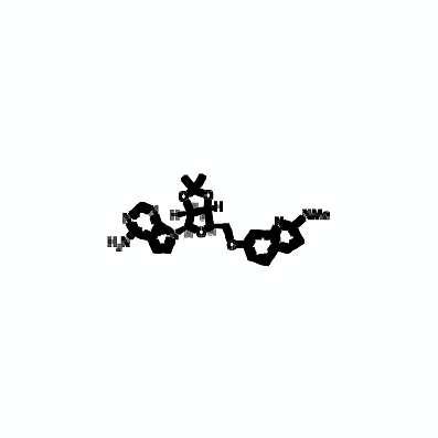 CNc1ccc2ccc(OC[C@H]3O[C@@H](n4ccc5c(N)ncnc54)[C@@H]4OC(C)(C)O[C@@H]43)cc2n1